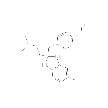 CCOc1ccc(CC2(CCN(C)C)Nc3ccc([N+](=O)[O-])cc3N2)cc1